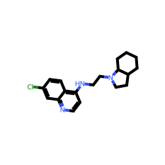 Clc1ccc2c(NCCN3CCC4CCCCC43)ccnc2c1